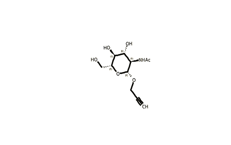 C#CCO[C@@H]1O[C@H](CO)[C@@H](O)[C@H](O)[C@H]1NC(C)=O